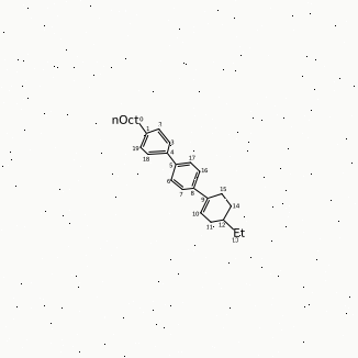 CCCCCCCCc1ccc(-c2ccc(C3=CCC(CC)CC3)cc2)cc1